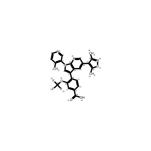 Cc1ccncc1-n1cc(-c2ccc(C(=O)O)cc2OC(F)(F)F)c2cc(-c3c(C)noc3C)cnc21